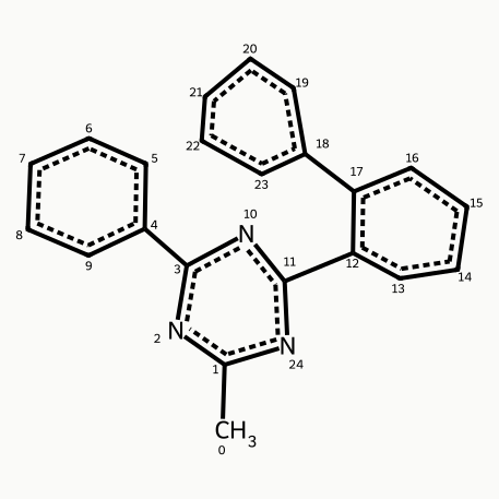 Cc1nc(-c2ccccc2)nc(-c2ccccc2-c2ccccc2)n1